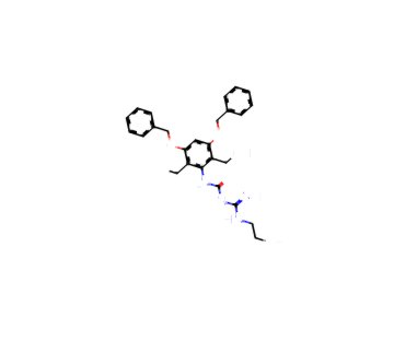 CCCNC(=N)NC(=O)N(C)c1c(CC)c(OCc2ccccc2)cc(OCc2ccccc2)c1CC